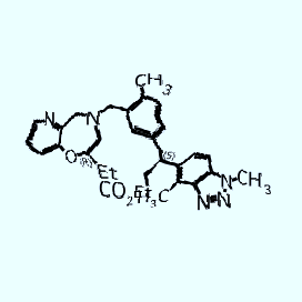 CCOC(=O)C[C@@H](c1ccc(C)c(CN2Cc3ncccc3O[C@H](CC)C2)c1)c1ccc2c(nnn2C)c1C